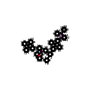 c1ccc(-c2ccccc2)cc1.c1ccc(C[P+](c2ccccc2)(c2ccccc2)c2ccccc2)cc1.c1ccc([B-](c2ccccc2)(c2ccccc2)c2ccccc2)cc1.c1ccc([B-](c2ccccc2)(c2ccccc2)c2ccccc2)cc1.c1ccc([PH+](c2ccccc2)c2ccccc2)cc1